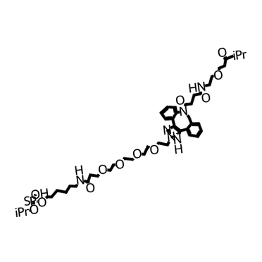 CC(C)OP(O)(=S)OCCCCCCNC(=O)CCOCCOCCOCCOCC[n+]1nc2c([nH]1)-c1ccccc1CN(C(=O)CCC(=O)NCCOCCC(=O)C(C)C)c1ccccc1-2